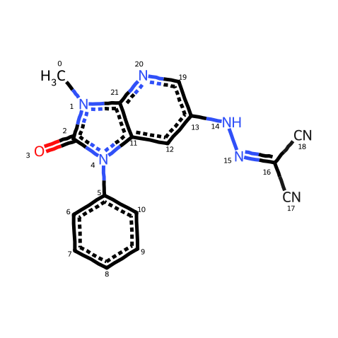 Cn1c(=O)n(-c2ccccc2)c2cc(NN=C(C#N)C#N)cnc21